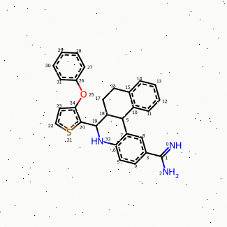 N=C(N)c1ccc2c(c1)C1c3ccccc3CCC1C(c1sccc1Oc1ccccc1)N2